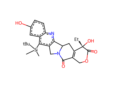 CC[C@@]1(O)C(=O)OCC2=C1CC1c3nc4ccc(O)cc4c([Si](C)(C)C(C)(C)C)c3CN1C2=O